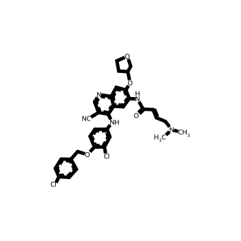 CN(C)CC=CC(=O)Nc1cc2c(Nc3ccc(OCc4ccc(Cl)cc4)c(Cl)c3)c(C#N)cnc2cc1OC1CCOC1